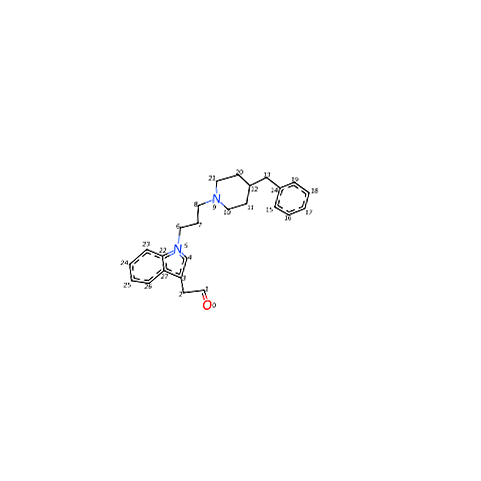 O=CCc1cn(CCCN2CCC(Cc3ccccc3)CC2)c2ccccc12